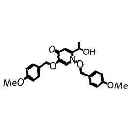 COc1ccc(COc2cn(OCc3ccc(OC)cc3)c(C(C)O)cc2=O)cc1